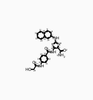 NC(=O)c1nc(Nc2ccc3ccccc3c2)sc1NC(=O)c1ccc(NC(=O)CO)cc1